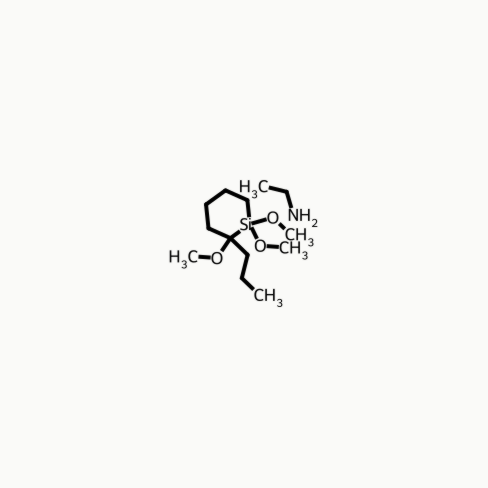 CCCC1(OC)CCCC[Si]1(OC)OC.CCN